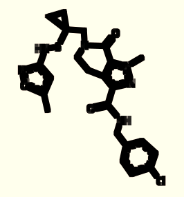 Cc1cc(NSC2(CN3CCc4c(C(=O)NCc5ccc(Cl)cc5)nn(C)c4C3=O)CC2)no1